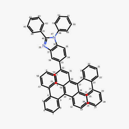 c1ccc(-c2ccccc2-c2c3ccccc3c(-c3ccccc3-c3ccccc3)c3cc(-c4ccc5c(c4)nc(-c4ccccc4)n5-c4ccccc4)ccc23)cc1